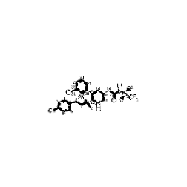 CC(=O)C(C)(CCc1ccc(Cl)cc1)[C@H]1NC[C@@H](CC(=O)NS(=O)(=O)C(F)(F)F)C[C@@H]1c1cccc(Cl)c1